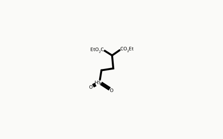 CCOC(=O)C(CC[SH](=O)=O)C(=O)OCC